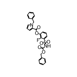 O=C(NS(=O)(=O)c1cccc(OC(=O)c2cccn2Cc2ccccc2)c1F)OCc1ccccc1